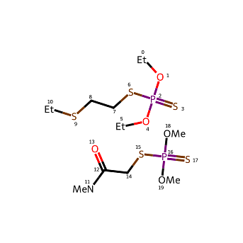 CCOP(=S)(OCC)SCCSCC.CNC(=O)CSP(=S)(OC)OC